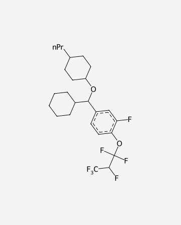 CCCC1CCC(OC(c2ccc(OC(F)(F)C(F)C(F)(F)F)c(F)c2)C2CCCCC2)CC1